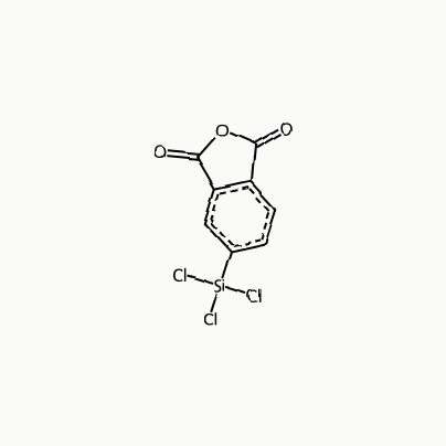 O=C1OC(=O)c2cc([Si](Cl)(Cl)Cl)ccc21